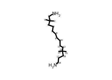 CC(C)(CN)CCCCCCCCC(C)(C)CCCN